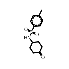 Cc1ccc(S(=O)(=O)NC2CCC(=O)CC2)cc1